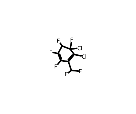 FC1=C(F)C(F)C(F)(Cl)C(Cl)=C1C(F)F